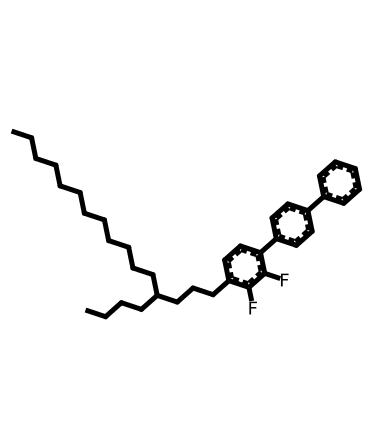 CCCCCCCCCCCCC(CCCC)CCCc1ccc(-c2ccc(-c3ccccc3)cc2)c(F)c1F